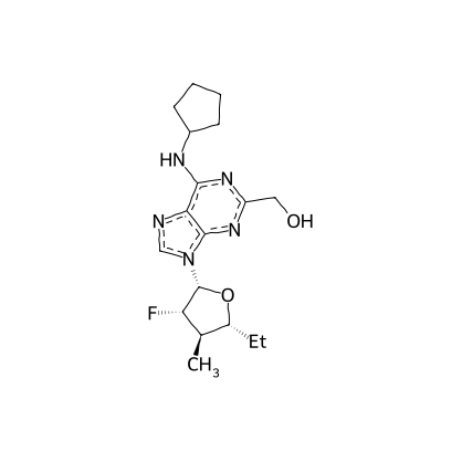 CC[C@H]1O[C@@H](n2cnc3c(NC4CCCC4)nc(CO)nc32)[C@@H](F)[C@@H]1C